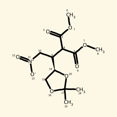 COC(=O)C(C(=O)OC)C(C[N+](=O)[O-])[C@@H]1COC(C)(C)O1